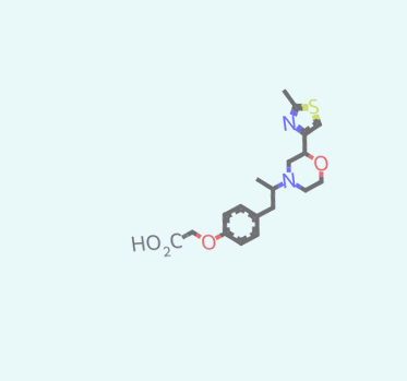 Cc1nc(C2CN(C(C)Cc3ccc(OCC(=O)O)cc3)CCO2)cs1